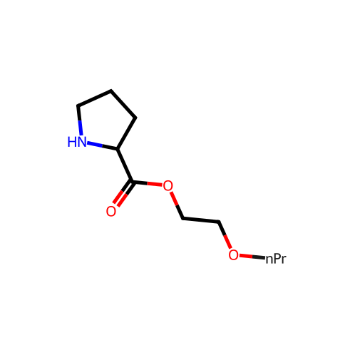 CCCOCCOC(=O)C1CCCN1